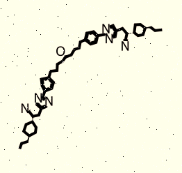 CCC[C@H]1CC[C@H](C(C#N)Cc2cnc(-c3ccc(CCCCC(=O)CCCCc4ccc(-c5ncc(CC(C#N)[C@H]6CC[C@H](CCC)CC6)cn5)cc4)cc3)nc2)CC1